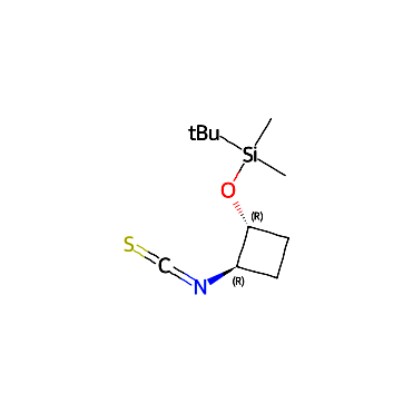 CC(C)(C)[Si](C)(C)O[C@@H]1CC[C@H]1N=C=S